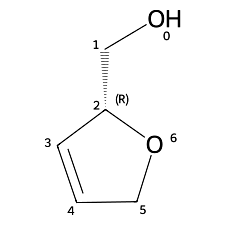 OC[C@H]1C=CCO1